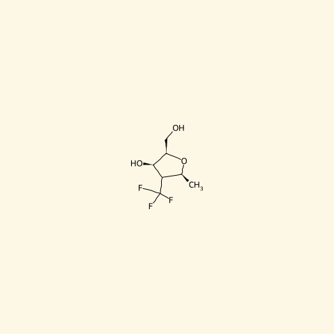 C[C@@H]1O[C@H](CO)[C@H](O)C1C(F)(F)F